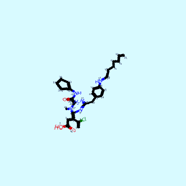 C=C(Cl)/C(CC(=O)O)=C(\N=C(/N)Cc1ccc(NCCCCCCC)cc1)N(C)CC(=O)NC1CCCC1